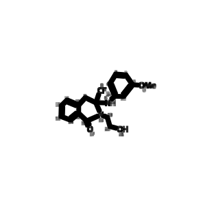 COc1cccc(NC2(C(F)(F)F)Cc3ccccc3C(=O)N2CCO)c1